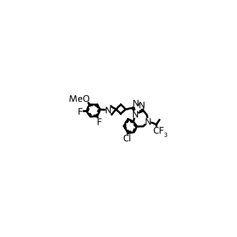 COc1cc(N2CC3(CC(c4nnc5n4-c4ccc(Cl)cc4CN(C(C)C(F)(F)F)C5)C3)C2)c(F)cc1F